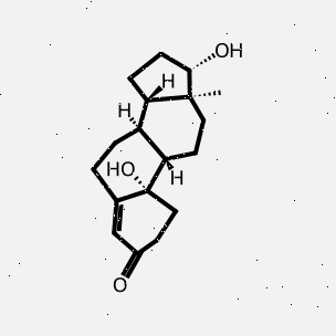 C[C@]12CC[C@H]3[C@@H](CCC4=CC(=O)CC[C@@]43O)[C@@H]1CC[C@@H]2O